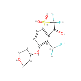 O=C1c2c(ccc(OC3CCOCC3)c2C(F)F)S(=O)(=O)C1(F)F